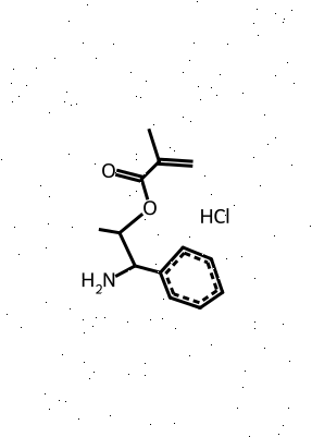 C=C(C)C(=O)OC(C)C(N)c1ccccc1.Cl